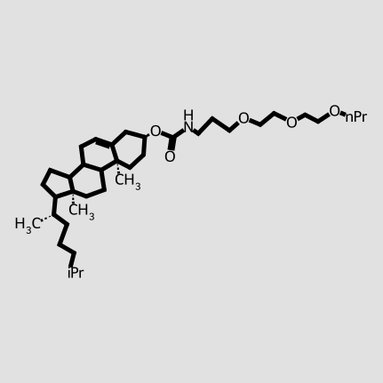 CCCOCCOCCOCCCNC(=O)O[C@@H]1CC[C@]2(C)C(=CCC3C4CCC([C@@H](C)CCCC(C)C)[C@]4(C)CCC32)C1